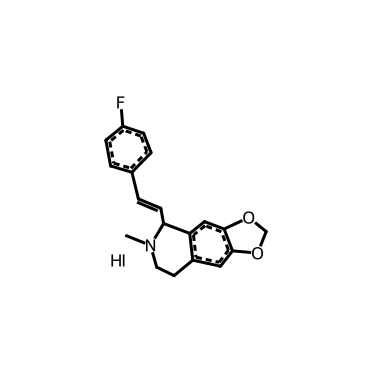 CN1CCc2cc3c(cc2C1C=Cc1ccc(F)cc1)OCO3.I